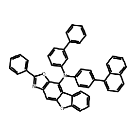 c1ccc(-c2cccc(N(c3ccc(-c4cccc5ccccc45)cc3)c3c4oc(-c5ccccc5)nc4cc4oc5ccccc5c34)c2)cc1